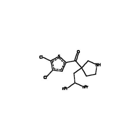 CCCC(CCC)CC1(C(=O)c2cc(Cl)c(Cl)s2)CCNC1